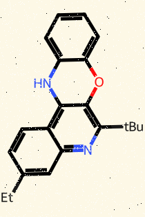 CCc1ccc2c3c(c(C(C)(C)C)nc2c1)Oc1ccccc1N3